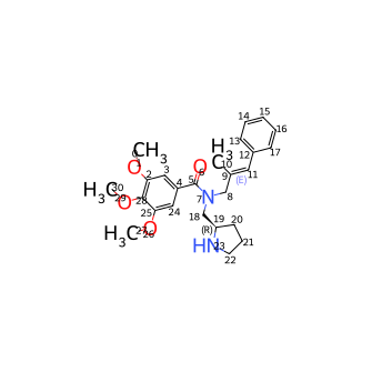 COc1cc(C(=O)N(C/C(C)=C/c2ccccc2)C[C@H]2CCCN2)cc(OC)c1OC